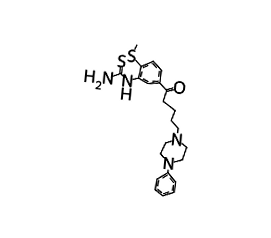 CSc1ccc(C(=O)CCCCN2CCN(c3ccccc3)CC2)cc1NC(N)=S